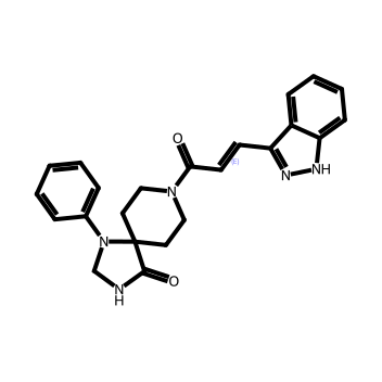 O=C(/C=C/c1n[nH]c2ccccc12)N1CCC2(CC1)C(=O)NCN2c1ccccc1